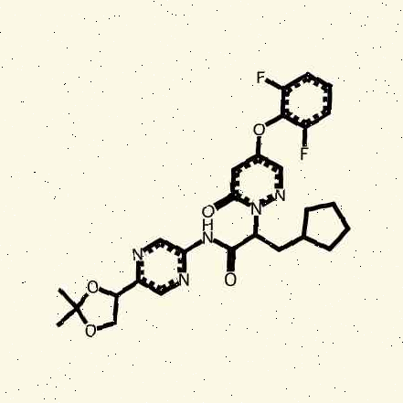 CC1(C)OCC(c2cnc(NC(=O)C(CC3CCCC3)n3ncc(Oc4c(F)cccc4F)cc3=O)cn2)O1